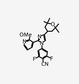 COc1ncccc1-c1nc(C2CC(C)(C)OC(C)(C)C2)cn1-c1cc(F)c(C#N)c(F)c1